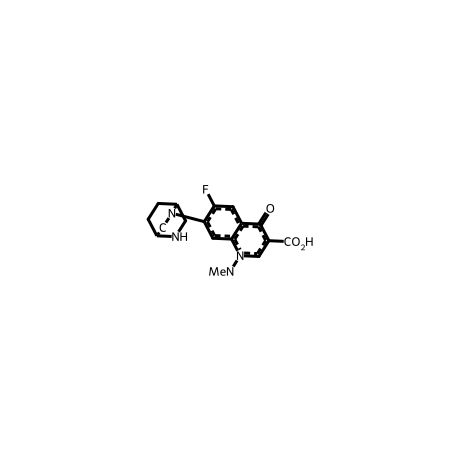 CNn1cc(C(=O)O)c(=O)c2cc(F)c(N3CC4CCC3CN4)cc21